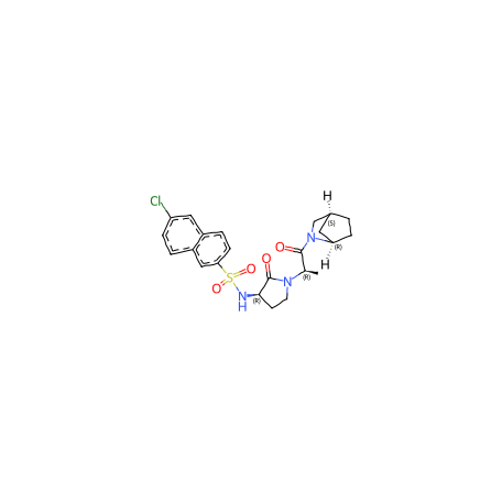 C[C@H](C(=O)N1C[C@H]2CC[C@@H]1C2)N1CC[C@@H](NS(=O)(=O)c2ccc3cc(Cl)ccc3c2)C1=O